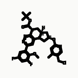 COc1c(F)cc(F)cc1-c1cc2c(nn1)N(C(=O)OC(C)(C)C)C[C@H]1C[C@@H](Oc3cc(C)c(CCl)cn3)CN21